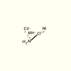 [AlH2][Cl].[Co].[Mn].[Ni]